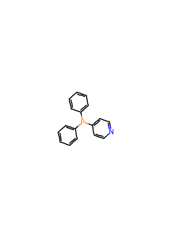 c1ccc(P(c2ccccc2)c2ccncc2)cc1